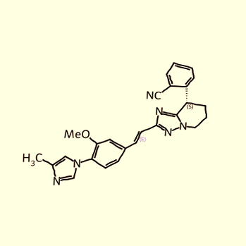 COc1cc(/C=C/c2nc3n(n2)CCC[C@H]3c2ccccc2C#N)ccc1-n1cnc(C)c1